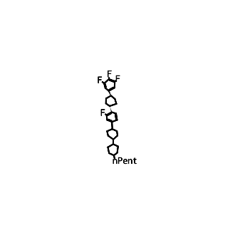 CCCCCC1CCC(C2CCC(c3ccc([C@H]4CC[C@H](c5cc(F)c(F)c(F)c5)CC4)c(F)c3)CC2)CC1